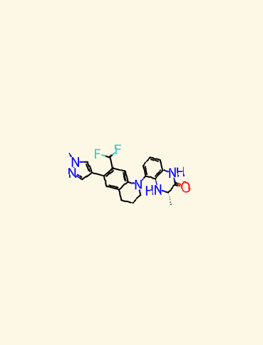 C[C@@H]1Nc2c(cccc2N2CCCc3cc(-c4cnn(C)c4)c(C(F)F)cc32)NC1=O